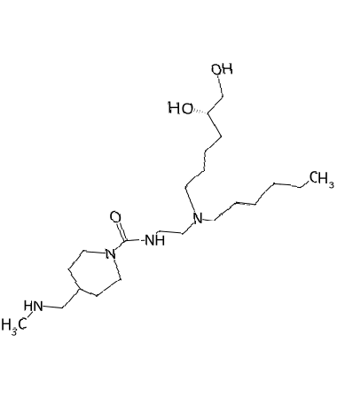 CCCCCCN(CCCC[C@H](O)CO)CCNC(=O)N1CCC(CNC)CC1